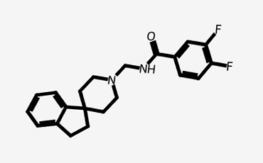 O=C(NCN1CCC2(CCc3ccccc32)CC1)c1ccc(F)c(F)c1